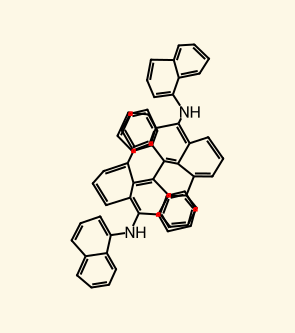 c1ccc(-c2cccc3c(Nc4cccc5ccccc45)c4ccccc4c(-c4c5ccccc5c(Nc5cccc6ccccc56)c5cccc(-c6ccccc6)c45)c23)cc1